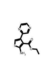 CCOC(=O)c1c(-c2cnccn2)csc1N